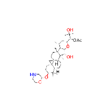 CC(=O)O[C@@H]([C@H]1C[C@@H](C)C2C(O1)[C@H](O)[C@@]1(C)[C@@H]3CC[C@H]4C(C)(C)[C@@H](O[C@H]5CNCCO5)CC[C@@]45C[C@@]35CC[C@]21C)C(C)(C)O